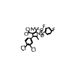 COC(=O)c1c(-c2ccc(Cl)c(Cl)c2)c(C)n(S(=O)(=O)c2ccc(F)cc2F)c1C